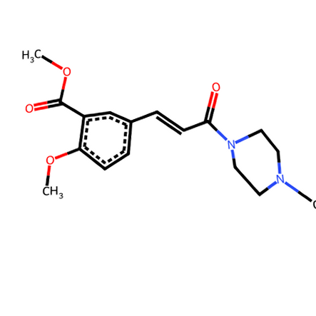 COC(=O)c1cc(C=CC(=O)N2CCN(C)CC2)ccc1OC